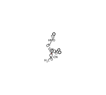 C=CC(=O)N1CCN(c2nc(OC[C@@H]3CCCN3CCCNC(=O)OCc3ccccc3I)nc3c2CCN(c2cccc4cccc(Cl)c24)C3)C[C@@H]1CC#N